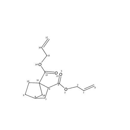 C=CCOC(=O)C1CC2CCC1(C(=O)OCC=C)C2